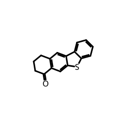 O=C1CCCc2cc3c(cc21)sc1ccccc13